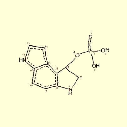 O=P(O)(O)OC1CNc2ccc3[nH]ccc3c21